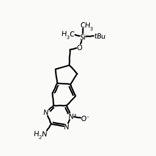 CC(C)(C)[Si](C)(C)OCC1Cc2cc3nc(N)n[n+]([O-])c3cc2C1